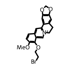 COc1ccc2cc3[n+](cc2c1OCCBr)CCc1cc2c(cc1-3)OCO2